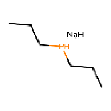 CCCPCCC.[NaH]